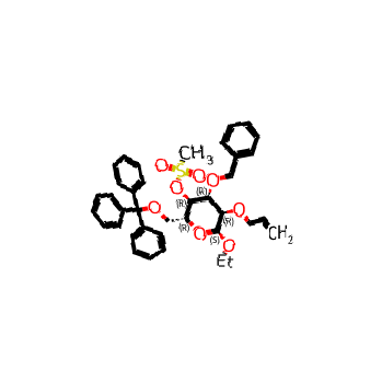 C=CCO[C@H]1[C@@H](OCC)O[C@H](COC(c2ccccc2)(c2ccccc2)c2ccccc2)[C@@H](OS(C)(=O)=O)[C@@H]1OCc1ccccc1